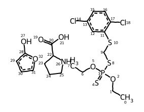 CCOP(=S)(OCC)SCSc1cc(Cl)ccc1Cl.O=C(O)C1CCCN1.Oc1ccco1